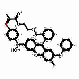 C=C(C)C(=O)OCCOC(=O)c1ccccc1-c1c2cc/c(=[N+](/O)c3ccc(C)cc3)cc-2oc2cc(C)c(Nc3ccccc3)cc12